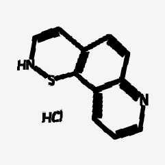 C1=Cc2ccc3ncccc3c2SN1.Cl